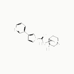 O=C(N[C@H]1CN2CCC1CC2)n1ccc(-c2cccnc2)c1